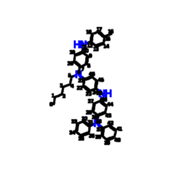 CCCCCCN(c1ccc(Nc2ccc(C)cc2)cc1)c1ccc(Nc2ccc(N(c3ccccc3)c3ccccc3)cc2)cc1